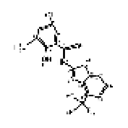 Cc1cc(Cl)cc(C(=O)Nc2nc3c(C(F)(F)F)cccc3s2)c1O